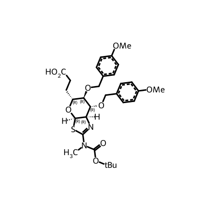 COc1ccc(CO[C@@H]2[C@H]3N=C(N(C)C(=O)OC(C)(C)C)S[C@H]3O[C@H](CCC(=O)O)[C@H]2OCc2ccc(OC)cc2)cc1